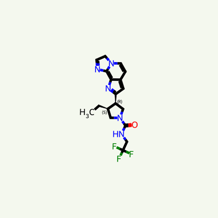 CC[C@@H]1CN(C(=O)NCC(F)(F)F)C[C@@H]1c1cc2ccn3c(c-2n1)N=CC3